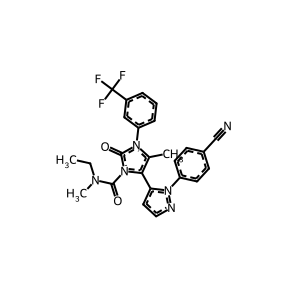 CCN(C)C(=O)n1c(-c2ccnn2-c2ccc(C#N)cc2)c(C)n(-c2cccc(C(F)(F)F)c2)c1=O